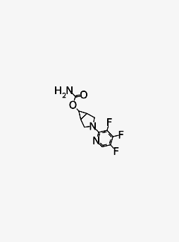 NC(=O)OC1C2CN(c3ncc(F)c(F)c3F)CC21